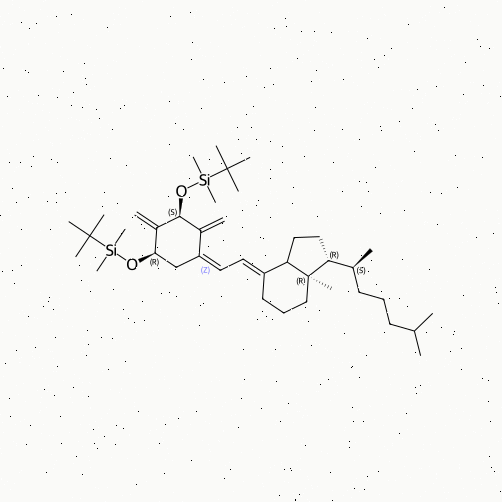 C=C1/C(=C\C=C2CCC[C@@]3(C)C2CC[C@@H]3[C@@H](C)CCCC(C)C)C[C@@H](O[Si](C)(C)C(C)(C)C)C(=C)[C@H]1O[Si](C)(C)C(C)(C)C